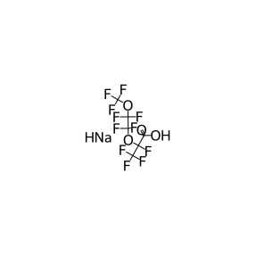 O=C(O)C(F)(OC(F)(F)C(F)(F)OC(F)(F)F)C(F)(F)F.[NaH]